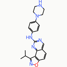 CC(C)c1noc2ccc3cnc(Nc4ccc(N5CCNCC5)cc4)nc3c12